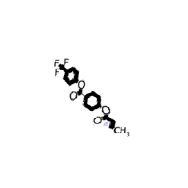 C/C=C/C(=O)O[C@H]1CC[C@H](C(=O)Oc2ccc(C(F)(F)F)cc2)CC1